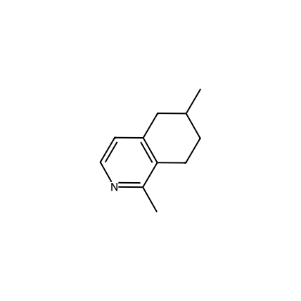 Cc1nccc2c1CCC(C)C2